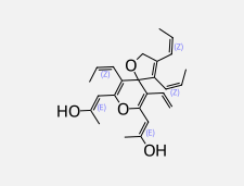 C=CC1=C(/C=C(\C)O)OC(/C=C(\C)O)=C(/C=C\C)C12OCC(/C=C\C)=C2/C=C\C